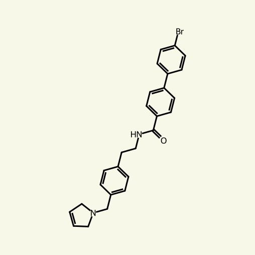 O=C(NCCc1ccc(CN2CC=CC2)cc1)c1ccc(-c2ccc(Br)cc2)cc1